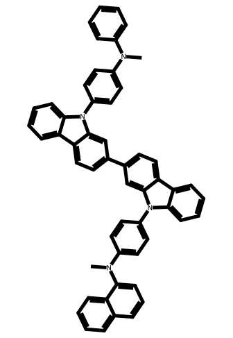 CN(c1ccccc1)c1ccc(-n2c3ccccc3c3ccc(-c4ccc5c6ccccc6n(-c6ccc(N(C)c7cccc8ccccc78)cc6)c5c4)cc32)cc1